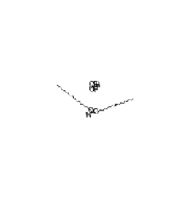 CCCCCCCCC=CCCCCCCCCOCC(CN(C)C)OCCCCCCCCC=CCCCCCCCC.O=C(O)C(F)(F)F